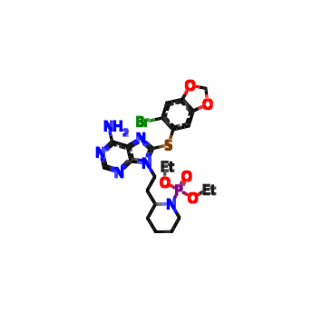 CCOP(=O)(OCC)N1CCCCC1CCn1c(Sc2cc3c(cc2Br)OCO3)nc2c(N)ncnc21